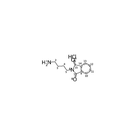 Cl.NCCCCN1C(=O)c2ccccc2C1=O